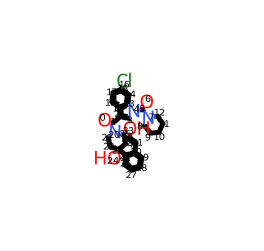 O=C(c1cn(C(=O)N2CCCCC2)c2cc(Cl)ccc12)N1CCC(O)(c2ccccc2/C=C/O)CC1